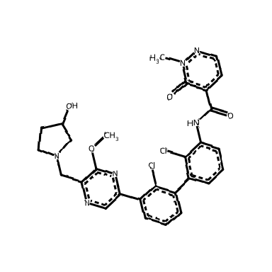 COc1nc(-c2cccc(-c3cccc(NC(=O)c4ccnn(C)c4=O)c3Cl)c2Cl)cnc1CN1CCC(O)C1